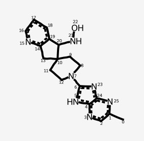 Cc1cnc2[nH]c(N3CCC4(CC3)Cc3ncccc3C4NO)nc2n1